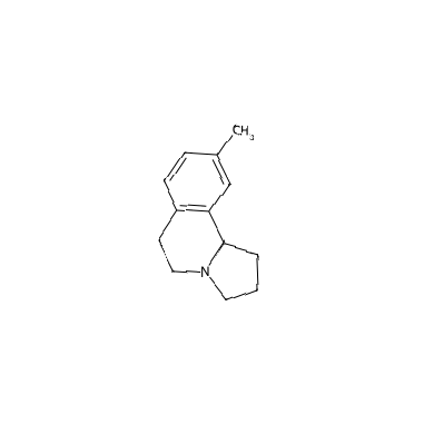 Cc1ccc2c(c1)C1CCCN1CC2